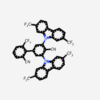 N#Cc1cccc(C(F)(F)F)c1-c1cc(-n2c3cc(C(F)(F)F)ccc3c3ccc(C(F)(F)F)cc32)c(C#N)c(-n2c3cc(C(F)(F)F)ccc3c3ccc(C(F)(F)F)cc32)c1